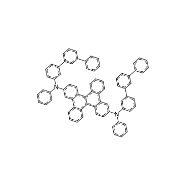 c1ccc(-c2cccc(-c3cccc(N(c4ccccc4)c4ccc5c(c4)c4ccccc4c4c6ccc(N(c7ccccc7)c7cccc(-c8cccc(-c9ccccc9)c8)c7)cc6c6ccccc6c54)c3)c2)cc1